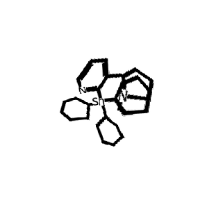 CN1CCCC1c1cccn[c]1[Sn]([CH]1CCCCC1)([CH]1CCCCC1)[CH]1CCCCC1